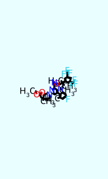 CCOC(=O)CC1(C)CCN(c2cc(-c3ccc(F)cc3C)c(N(C)C(=O)C(C)(C)c3cc(C(F)(F)F)cc(C(F)(F)F)c3)c(C#N)n2)CC1